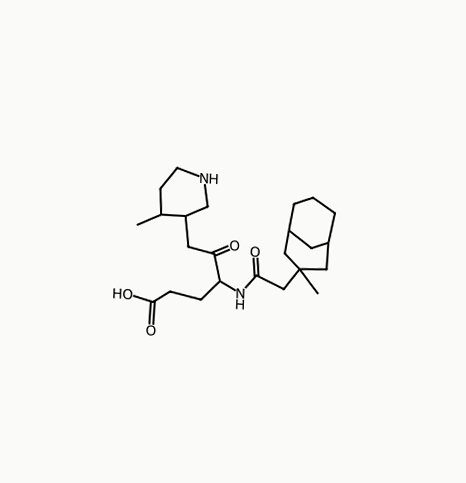 CC1CCNCC1CC(=O)C(CCC(=O)O)NC(=O)CC1(C)CC2CCCC(C2)C1